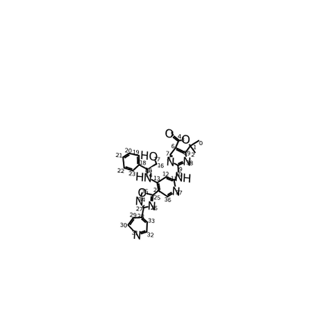 CC1(C)OC(=O)c2cnc(Nc3cc(N[C@H](CO)c4ccccc4)c(-c4nc(-c5ccncc5)no4)cn3)nc21